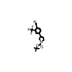 CC(C)(C)OC(=O)N1CC=C(c2ccc(C#N)c(C(F)(F)F)c2)C1